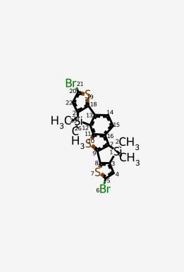 C[Si]1(C)c2cc(Br)sc2-c2sc3c4c(ccc3c21)-c1sc(Br)cc1[Si]4(C)C